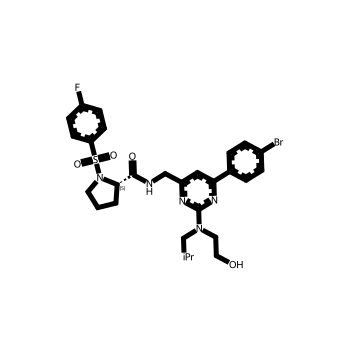 CC(C)CN(CCO)c1nc(CNC(=O)[C@@H]2CCCN2S(=O)(=O)c2ccc(F)cc2)cc(-c2ccc(Br)cc2)n1